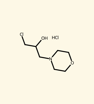 Cl.OC(CCl)CN1CCOCC1